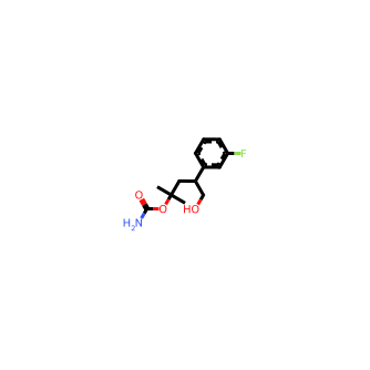 CC(C)(CC(CO)c1cccc(F)c1)OC(N)=O